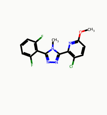 COc1ccc(Cl)c(-c2nnc(-c3c(F)cccc3F)n2C)n1